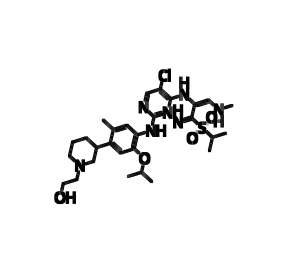 CN/C=C(/Nc1nc(Nc2cc(C)c(C3CCCN(CCO)C3)cc2OC(C)C)ncc1Cl)C(=N)S(=O)(=O)C(C)C